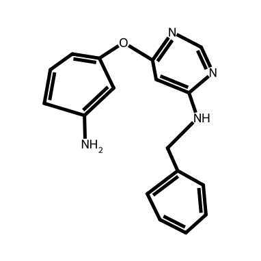 Nc1cccc(Oc2cc(NCc3ccccc3)ncn2)c1